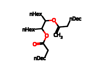 C=C(CCCCCCCCCCC)OC(CCCCCC)C(CCCCCC)OC(=O)CCCCCCCCCCC